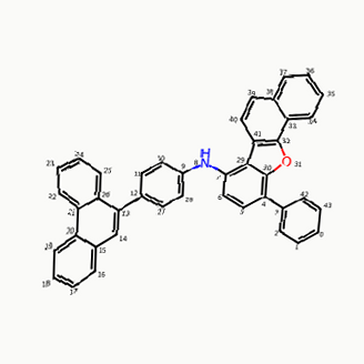 c1ccc(-c2ccc(Nc3ccc(-c4cc5ccccc5c5ccccc45)cc3)c3c2oc2c4ccccc4ccc23)cc1